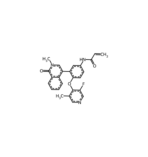 C=CC(=O)Nc1ccc(Oc2c(C)cncc2F)c(-c2cn(C)c(=O)c3ccccc23)c1